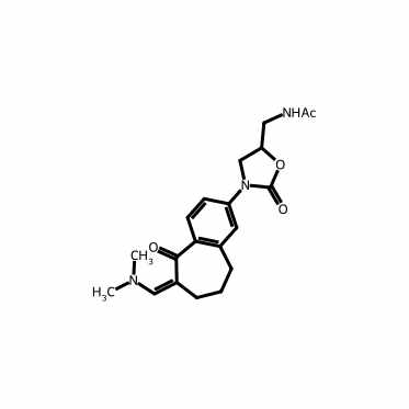 CC(=O)NCC1CN(c2ccc3c(c2)CCCC(=CN(C)C)C3=O)C(=O)O1